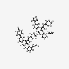 COc1cccc(CN(Cc2ccc(-n3cccn3)cc2)c2nc(CN3CCN(C)CC3)cs2)c1.COc1cccc(CN(Cc2ccc(N3CCN(C)CC3)cc2)c2nc(CN3CCN(C)CC3)cs2)c1